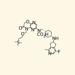 Cc1ncc(F)c2c1CC(N[C@H]1CC[C@@H](CN(C(=O)O)c3cnc4c(n3)N(COCCS(C)(C)C)C(=O)CO4)CC1)C2